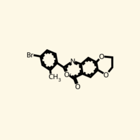 Cc1cc(Br)ccc1-c1nc2cc3c(cc2c(=O)o1)OCCO3